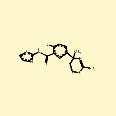 CC1(c2ccc(F)c(C(=O)Nc3nccs3)c2)CCSC(N)=N1